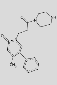 Cc1cc(=O)n(CCC(=O)N2CCNCC2)cc1-c1ccccc1